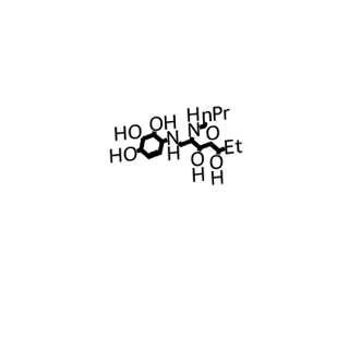 CCCC(=O)NC(CNC1C=CC(O)C(O)C1O)C(O)CC(O)CC